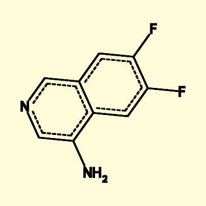 Nc1cncc2cc(F)c(F)cc12